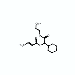 COCCOC(=O)C(OC(=O)/C=C/C(=O)O)C1CCCCC1